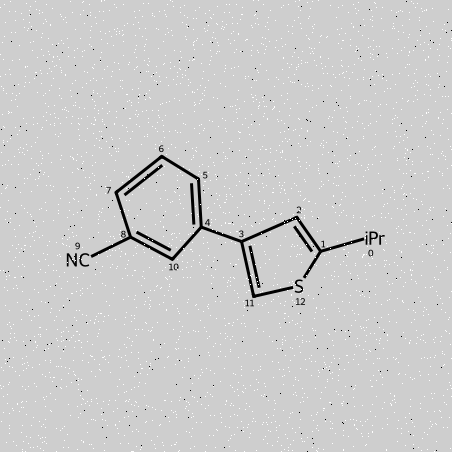 CC(C)c1cc(-c2cccc(C#N)c2)cs1